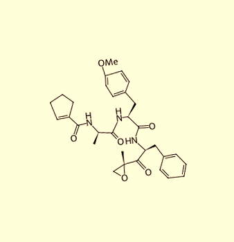 COc1ccc(C[C@H](NC(=O)[C@@H](C)NC(=O)C2=CCCC2)C(=O)N[C@@H](Cc2ccccc2)C(=O)[C@@]2(C)CO2)cc1